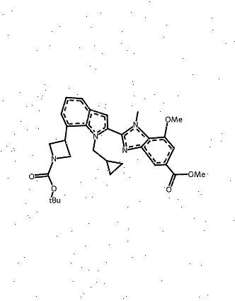 COC(=O)c1cc(OC)c2c(c1)nc(-c1cc3cccc(C4CN(C(=O)OC(C)(C)C)C4)c3n1CC1CC1)n2C